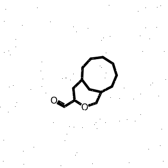 O=CC1CC2CCCCCCC(CO1)C2